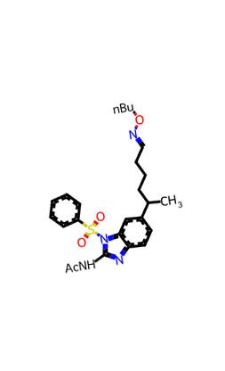 CCCCON=CCCCC(C)c1ccc2nc(NC(C)=O)n(S(=O)(=O)c3ccccc3)c2c1